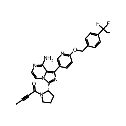 CC#CC(=O)N1CCC[C@H]1c1nc(-c2ccc(OCc3ccc(C(F)(F)F)cc3)nc2)c2c(N)nccn12